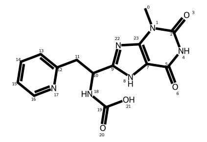 Cn1c(=O)[nH]c(=O)c2[nH]c(C(Cc3ccccn3)NC(=O)O)nc21